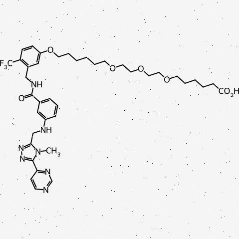 Cn1c(CNc2cccc(C(=O)NCc3cc(OCCCCCCOCCOCCOCCCCCC(=O)O)ccc3C(F)(F)F)c2)nnc1-c1ccncn1